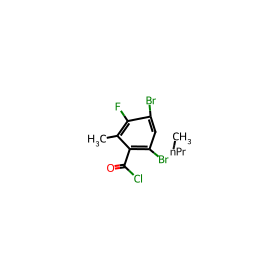 CCCC.Cc1c(F)c(Br)cc(Br)c1C(=O)Cl